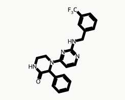 O=C1NCCN(c2ccnc(NCc3cccc(C(F)(F)F)c3)n2)C1c1ccccc1